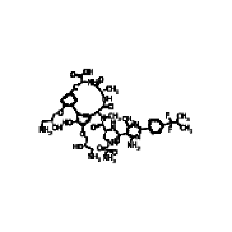 Cc1nc(-c2ccc(C(F)(F)C(C)C)cc2)nc(N)c1C(=O)N[C@@H](CNS(N)(=O)=O)C(=O)N(C)[C@@H]1C(=O)N[C@@H](C)C(=O)N[C@H](C(=O)O)Cc2ccc(OC[C@H](O)CN)c(c2)-c2cc1cc(OC[C@H](O)CN)c2O